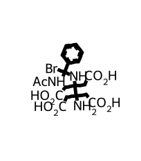 CC(=O)NC(Br)(NC(CC(=O)O)(CC(=O)O)C(N)(CC(=O)O)CC(=O)O)c1ccccc1